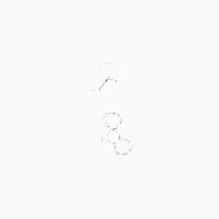 ClC(COc1ccc2c(c1)[nH]c1ccccc12)=C1CC2CCN1CC2